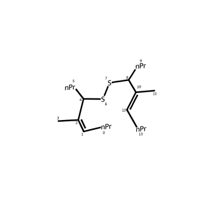 CCCC=C(C)C(CCC)SSC(CCC)C(C)=CCCC